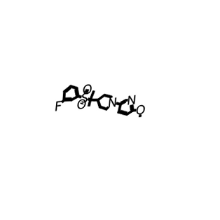 COc1ccc(N2CCC(C(C)(C)S(=O)(=O)c3cccc(F)c3)CC2)cn1